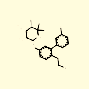 CC(=O)NCCc1ccc(O[C@H]2OC(C)(C)[C@H](C)[C@@H](O)[C@H]2O)cc1-c1cccc(C)c1